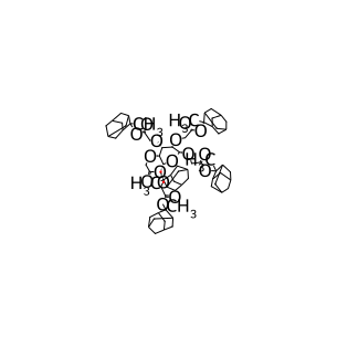 CC1(OC(=O)COC[C@H]2O[C@H](OCC(=O)OC3(C)C4CC5CC(C4)CC3C5)[C@H](OCC(=O)OC3(C)C4CC5CC(C4)CC3C5)[C@@H](OCC(=O)OC3(C)C4CC5CC(C4)CC3C5)[C@@H]2OCC(=O)OC2(C)C3CC4CC(C3)CC2C4)C2CC3CC(C2)CC1C3